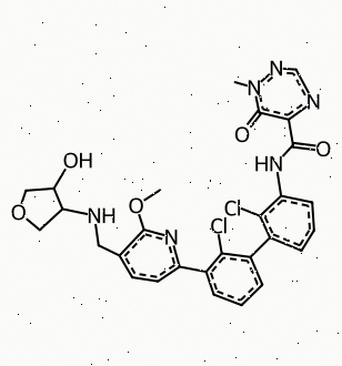 COc1nc(-c2cccc(-c3cccc(NC(=O)c4ncnn(C)c4=O)c3Cl)c2Cl)ccc1CNC1COCC1O